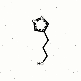 OCCCc1cnoc1